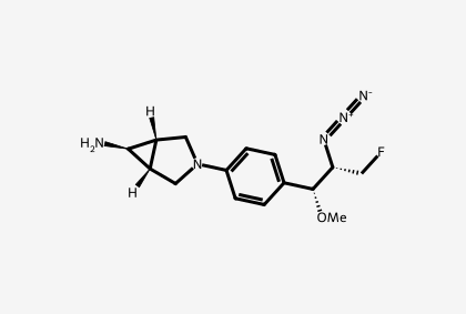 CO[C@H](c1ccc(N2C[C@@H]3[C@@H](N)[C@@H]3C2)cc1)[C@@H](CF)N=[N+]=[N-]